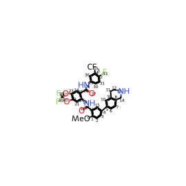 COc1ccc(-c2ccc3c(c2)CCNC3)cc1C(=O)Nc1cc2c(cc1C(=O)Nc1ccc(F)c(C(F)(F)F)c1)OC(F)(F)O2